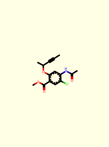 CC#CC(C)Oc1cc(NC(C)=O)c(Cl)cc1C(=O)OC